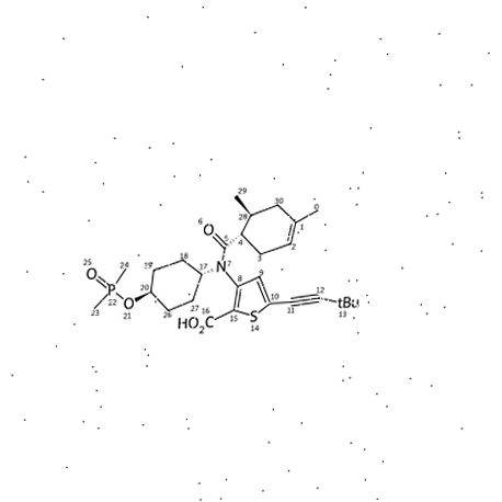 CC1=CC[C@H](C(=O)N(c2cc(C#CC(C)(C)C)sc2C(=O)O)[C@H]2CC[C@H](OP(C)(C)=O)CC2)[C@@H](C)C1